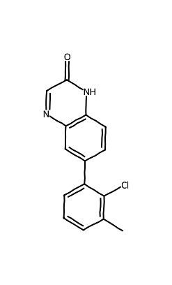 Cc1cccc(-c2ccc3[nH]c(=O)cnc3c2)c1Cl